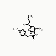 CCCS(=N)c1nc(N)c2[nH]c(=O)n(Cc3cnc(C)nc3)c2n1